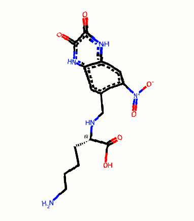 NCCCC[C@H](NCc1cc2[nH]c(=O)c(=O)[nH]c2cc1[N+](=O)[O-])C(=O)O